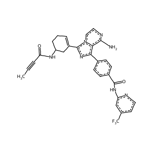 CC#CC(=O)NC1CCC=C(c2nc(-c3ccc(C(=O)Nc4cc(C(F)(F)F)ccn4)cc3)c3c(N)nccn23)C1